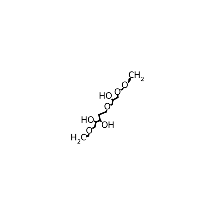 C=COCOCC(O)COCCC(O)C(O)COC=C